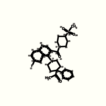 CC(=O)C1(c2ccccc2)CCN(c2c(C(=O)N3CCC(S(C)(=O)=O)CC3)cnc3ccc(F)cc23)CC1